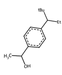 CCC(c1ccc(C(C)O)cc1)C(C)(C)C